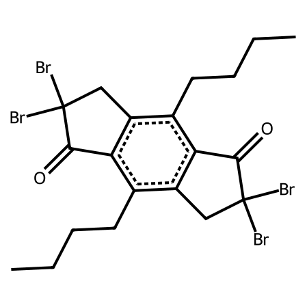 CCCCc1c2c(c(CCCC)c3c1C(=O)C(Br)(Br)C3)C(=O)C(Br)(Br)C2